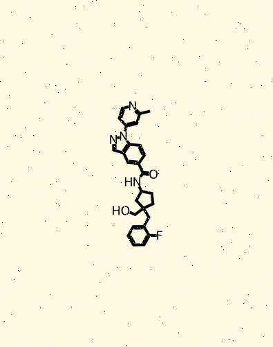 Cc1cc(-n2ncc3cc(C(=O)NC4CCC(CO)(Cc5ccccc5F)C4)ccc32)ccn1